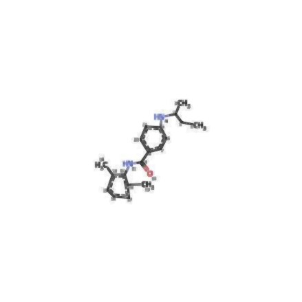 CCC(C)Nc1ccc(C(=O)Nc2c(C)cccc2C)cc1